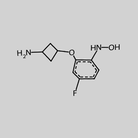 NC1CC(Oc2cc(F)ccc2NO)C1